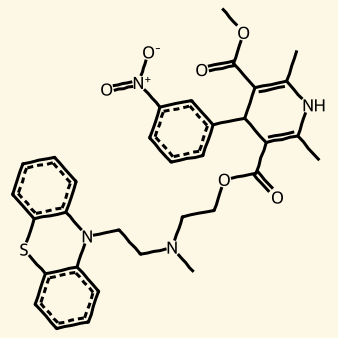 COC(=O)C1=C(C)NC(C)=C(C(=O)OCCN(C)CCN2c3ccccc3Sc3ccccc32)C1c1cccc([N+](=O)[O-])c1